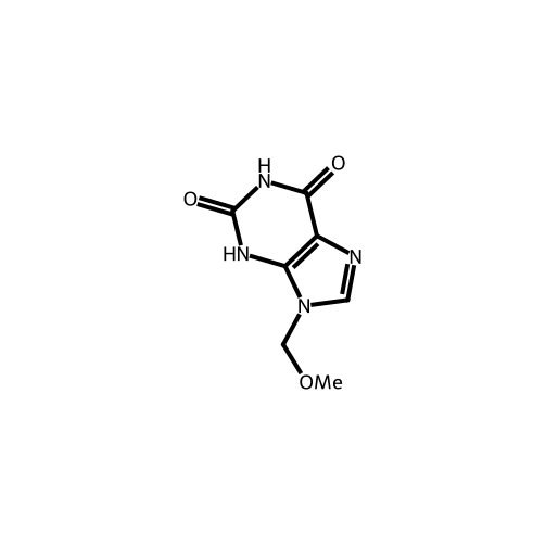 COCn1cnc2c(=O)[nH]c(=O)[nH]c21